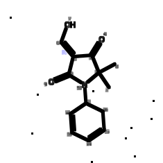 CC1(C)C(=O)/C(=C\O)C(=O)N1C1C=CC=CC1